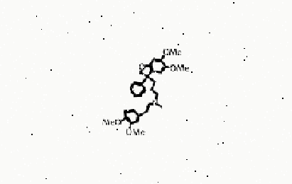 COc1ccc(CCN(C)CCCC2(c3ccccc3)COc3cc(OC)c(OC)cc32)cc1OC